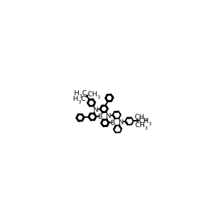 CC(C)(C)c1ccc(N2c3cc(-c4ccccc4)ccc3B3c4cccc5c4N(C4=C6B5C5=CCCC=C5N(C5=CCC(C(C)(C)C)C=C5)C6CC=C4)c4cc(-c5ccccc5)cc2c43)cc1